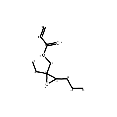 C=CC(=O)OCC1(CC)OC1CCC